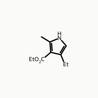 CCOC(=O)c1c(CC)c[nH]c1C